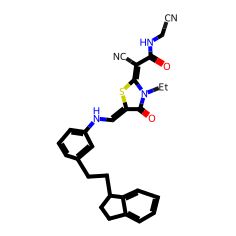 CCn1c(=C(C#N)C(=O)NCC#N)sc(=CNc2cccc(CCC3CCc4ccccc43)c2)c1=O